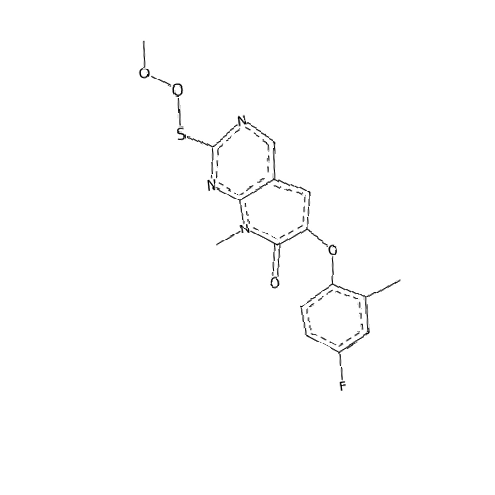 COOSc1ncc2cc(Oc3ccc(F)cc3C)c(=O)n(C)c2n1